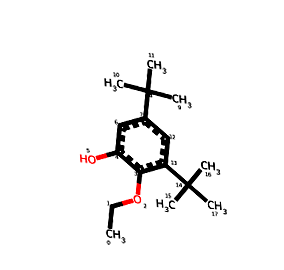 CCOc1c(O)cc(C(C)(C)C)cc1C(C)(C)C